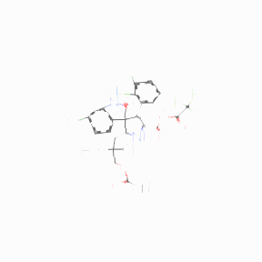 CC(=O)OCC(C)(C)C[C@@H]1N[C@@H](C(=O)OC(=O)C(F)(F)F)[C@H](c2cccc(Cl)c2F)C12C(=O)Nc1cc(Cl)ccc12